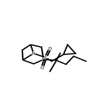 CCCC(C)(C)N1CC2CC(C1)N2S(=O)(=O)CC1CC1